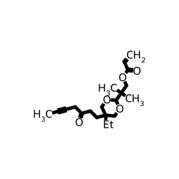 C=CC(=O)OCC(C)(C)C1OCC(CC)(CCC(=O)CC#CC)CO1